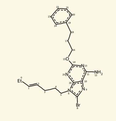 CCC=CCCCn1c(Br)nc2c(N)nc(OCCCc3ccccc3)nc21